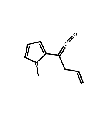 C=CCC(=C=O)c1cccn1C